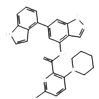 O=C(Nc1cc(-c2cccc3[nH]ccc23)cc2[nH]ncc12)c1nc(Cl)ccc1N1CCCCC1